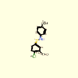 CCCCc1ccc(NSc2ccc(Cl)c(C=O)c2)cc1